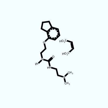 CC(C)N(CCOc1cccc2c1CCC2)C(=O)NCCN(C)C.O=C(O)/C=C\C(=O)O